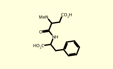 CNC(CC(=O)O)C(=O)NC(Cc1ccccc1)C(=O)O